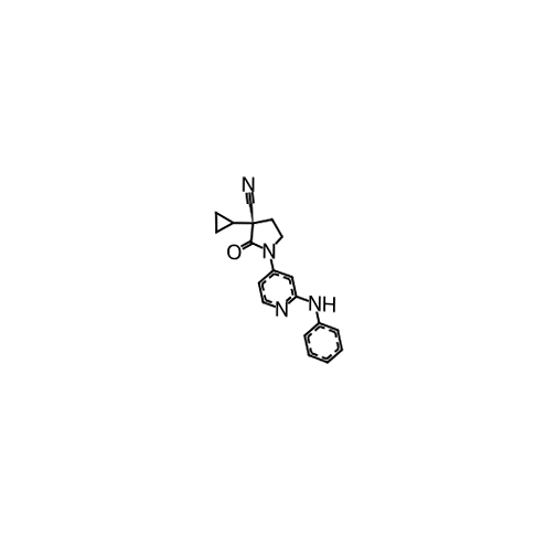 N#C[C@@]1(C2CC2)CCN(c2ccnc(Nc3ccccc3)c2)C1=O